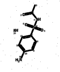 CC(=O)NS(=O)(=O)c1ccc(N)cc1.[KH]